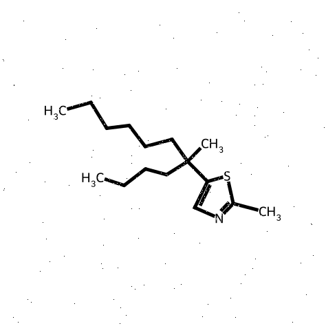 CCCCCCC(C)(CCCC)c1cnc(C)s1